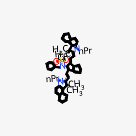 CCCN1/C(=C/C=C2C(N(Cc3ccccc3)S(=O)(=O)C(F)(F)F)=C(/C=C/C3=[N+](CCC)c4ccc5ccccc5c4C3(C)C)c3ccccc3/2)C(C)(C)c2c1ccc1ccccc21